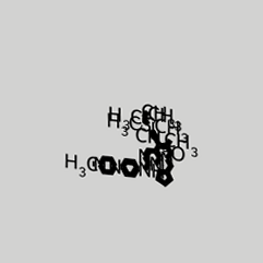 Cc1c(C#C[Si](C(C)C)(C(C)C)C(C)C)c2cnc(Nc3ccc(N4CCN(C)CC4)cc3)nc2n(CC2CCCC2)c1=O